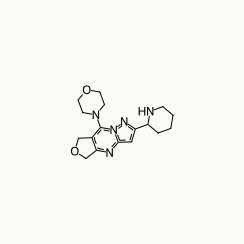 c1c(C2CCCCN2)nn2c(N3CCOCC3)c3c(nc12)COC3